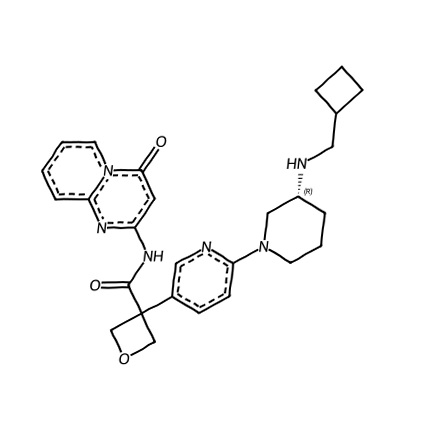 O=C(Nc1cc(=O)n2ccccc2n1)C1(c2ccc(N3CCC[C@@H](NCC4CCC4)C3)nc2)COC1